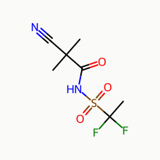 CC(C)(C#N)C(=O)NS(=O)(=O)C(C)(F)F